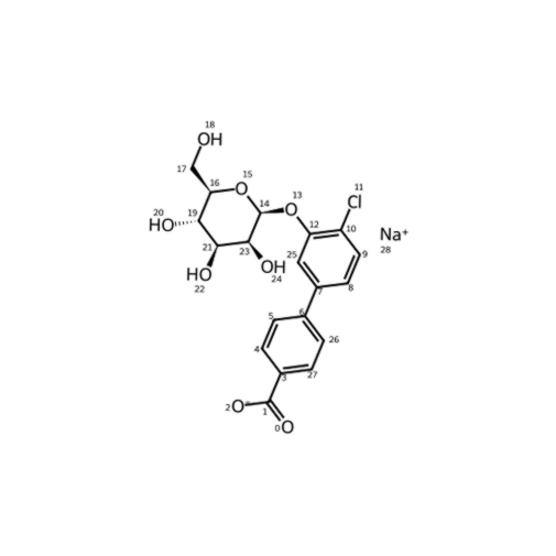 O=C([O-])c1ccc(-c2ccc(Cl)c(O[C@@H]3O[C@H](CO)[C@@H](O)[C@H](O)[C@@H]3O)c2)cc1.[Na+]